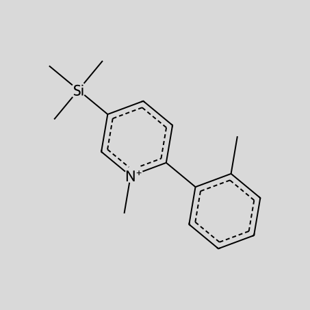 Cc1ccccc1-c1ccc([Si](C)(C)C)c[n+]1C